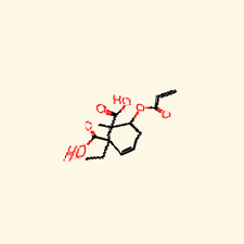 C=CC(=O)OC1CC=CC(CC)(C(=O)O)C1(C)C(=O)O